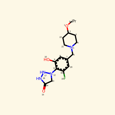 CC(C)OC1CCN(Cc2cc(O)c(N3CC(=O)NN3)c(F)c2)CC1